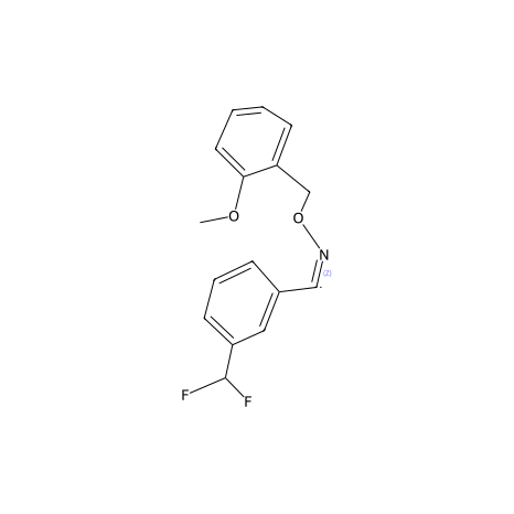 COc1ccccc1CO/N=[C]\c1cccc(C(F)F)c1